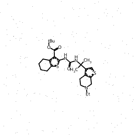 CCN1CCc2c(C(C)(C)NC(=O)Nc3sc4c(c3C(=O)OC(C)(C)C)CCCC4)csc2C1